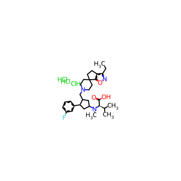 CCc1noc2c1CCC21CCN(CC2CC(N(C)[C@@H](C(=O)O)C(C)C)CC2c2cccc(F)c2)CC1.Cl.Cl.Cl